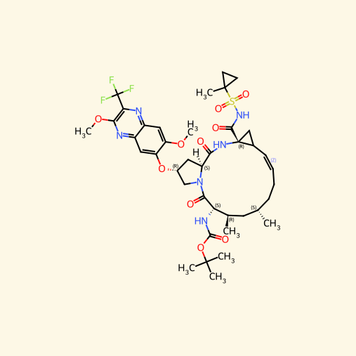 COc1cc2nc(C(F)(F)F)c(OC)nc2cc1O[C@@H]1C[C@H]2C(=O)N[C@]3(C(=O)NS(=O)(=O)C4(C)CC4)CC3/C=C\CC[C@H](C)C[C@@H](C)[C@H](NC(=O)OC(C)(C)C)C(=O)N2C1